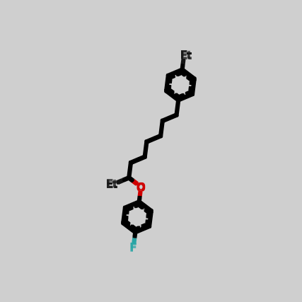 CCc1ccc(CCCCCCC(CC)Oc2ccc(F)cc2)cc1